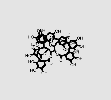 O=C(OC1COC(=O)c2cc(O)c(O)c(O)c2-c2c(cc(O)c(O)c2O)C(=O)OC1C1OC(=O)c2cc(O)c(O)c(O)c2C2=C(O)C(=O)C34Oc5cc(O)c6c(c5C3C1OC(=O)C24)OC(c1cc(O)c(O)c(O)c1)C(O)C6)c1cc(O)c(O)c(O)c1